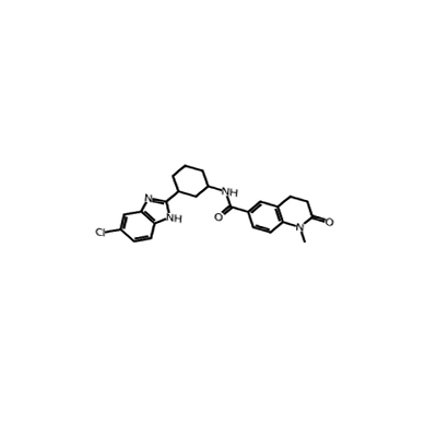 CN1C(=O)CCc2cc(C(=O)NC3CCCC(c4nc5cc(Cl)ccc5[nH]4)C3)ccc21